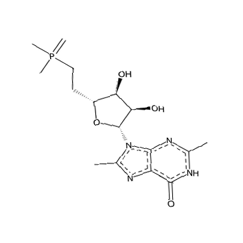 C=P(C)(C)CC[C@H]1O[C@@H](n2c(C)nc3c(=O)[nH]c(C)nc32)[C@H](O)[C@@H]1O